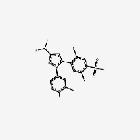 Cc1ccc(-n2nc(C(F)F)cc2-c2cc(F)c(S(C)(=O)=O)cc2F)cc1C